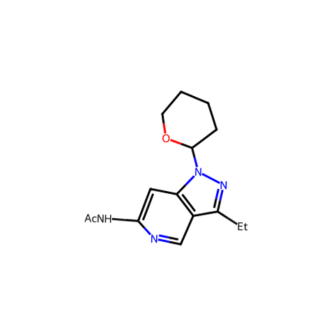 CCc1nn(C2CCCCO2)c2cc(NC(C)=O)ncc12